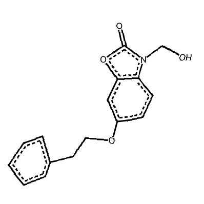 O=c1oc2cc(OCCc3ccccc3)ccc2n1CO